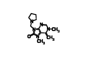 C=C1c2c(n(CN3CCCC3)c(=O)n2C)N=CN1C